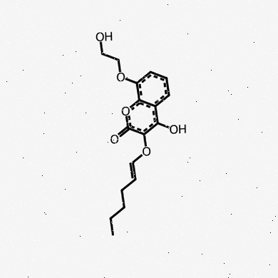 CCCCC=COc1c(O)c2cccc(OCCO)c2oc1=O